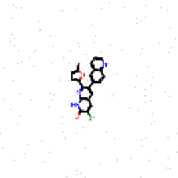 Cc1ccc(-c2nc3[nH]c(=O)c(Br)cc3cc2-c2ccc3ncccc3c2)o1